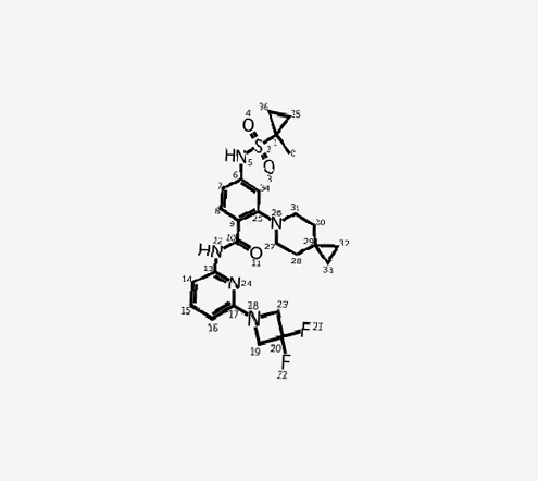 CC1(S(=O)(=O)Nc2ccc(C(=O)Nc3cccc(N4CC(F)(F)C4)n3)c(N3CCC4(CC3)CC4)c2)CC1